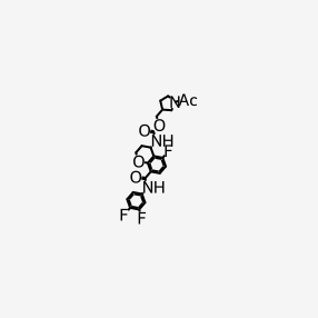 CC(=O)N1CCC(COC(=O)N[C@H]2CCOc3c(C(=O)Nc4ccc(F)c(F)c4)ccc(F)c32)C1